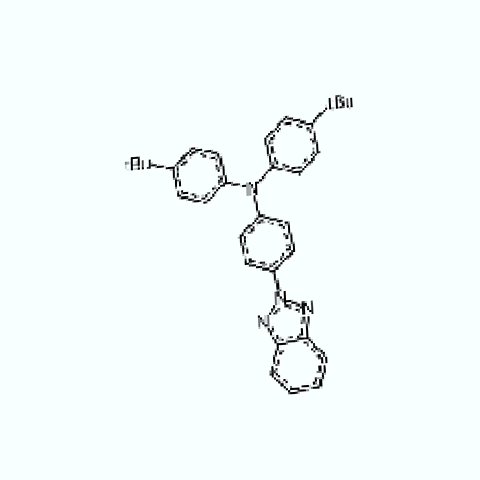 CC(C)(C)c1ccc(N(c2ccc(-n3nc4ccccc4n3)cc2)c2ccc(C(C)(C)C)cc2)cc1